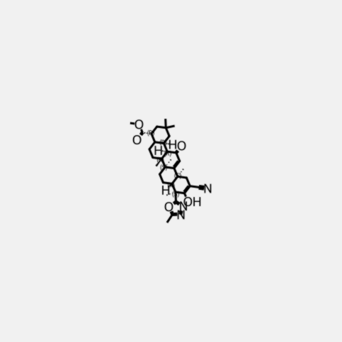 COC(=O)[C@@H]1CC(C)(C)C[C@@H]2C1CC[C@]1(C)[C@@H]2C(=O)C=C2[C@@]3(C)CC(C#N)=C(O)[C@@](C)(c4nnc(C)o4)[C@@H]3CC[C@]21C